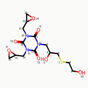 O=c1n(CC(O)CSCCO)c(=O)n(CC2CO2)c(=O)n1CC1CO1